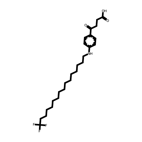 O=C(O)CCC(=O)c1ccc(NCCCCCCCCCCCCCCCC(F)(F)F)cc1